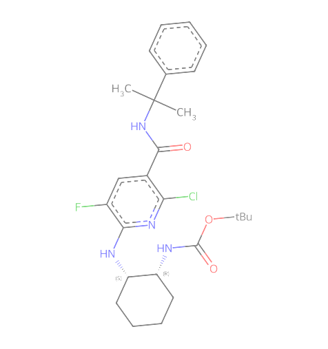 CC(C)(C)OC(=O)N[C@@H]1CCCC[C@@H]1Nc1nc(Cl)c(C(=O)NC(C)(C)c2ccccc2)cc1F